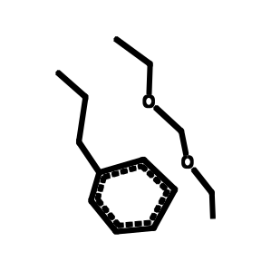 CCCc1ccccc1.CCOCOCC